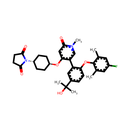 Cc1cc(F)cc(C)c1Oc1ccc(C(C)(C)O)cc1-c1cn(C)c(=O)cc1O[C@H]1CC[C@H](N2C(=O)CCC2=O)CC1